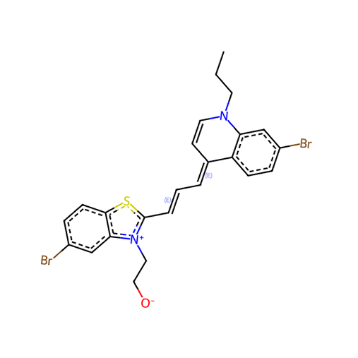 CCCN1C=C/C(=C\C=C\c2sc3ccc(Br)cc3[n+]2CC[O-])c2ccc(Br)cc21